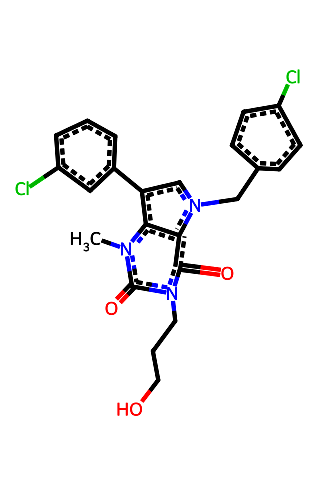 Cn1c(=O)n(CCCO)c(=O)c2c1c(-c1cccc(Cl)c1)cn2Cc1ccc(Cl)cc1